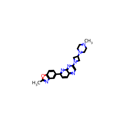 Cc1nc2cc(-c3ccc4ncc(N5CC(N6CCN(C)CC6)C5)nc4n3)ccc2o1